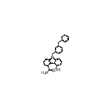 NC(=O)c1cccc2c1c1c(O)cccc1n2Cc1cccc(Cc2ccccc2)c1